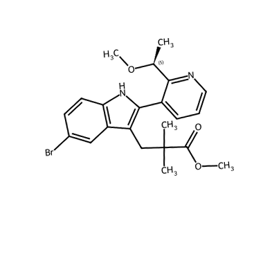 COC(=O)C(C)(C)Cc1c(-c2cccnc2[C@H](C)OC)[nH]c2ccc(Br)cc12